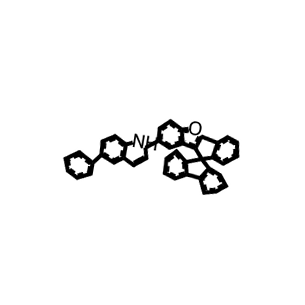 C1=CC(c2ccc3oc4c(c3c2)C2(c3ccccc3-c3ccccc32)c2ccccc2-4)Nc2ccc(-c3ccccc3)cc21